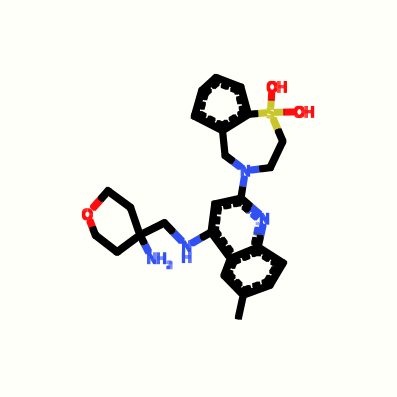 Cc1ccc2nc(N3CCS(O)(O)c4ccccc4C3)cc(NCC3(N)CCOCC3)c2c1